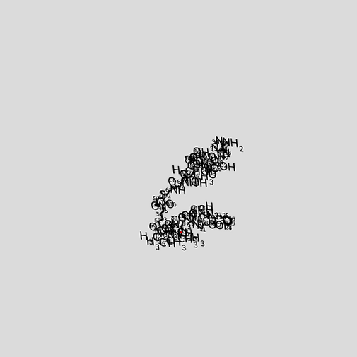 CC[C@H](C)[C@@H]([C@@H](CC(=O)N1CCC[C@H]1[C@H](OC)[C@@H](C)C(=O)N[C@@H](Cc1ccccc1)C(=O)O)OC)N(C)C(=O)[C@@H](NC(=O)[C@H](C(C)C)N(C)C(=O)CCCCCN1C(=O)CC(SCCNC(=O)CCNC(=O)[C@H](O)C(C)(C)COP(=O)(O)OP(=O)(O)OC[C@@H]2O[C@H](n3cnc4c(N)ncnc43)[C@@H](O)[C@H]2OP(=O)(O)O)C1=O)C(C)C